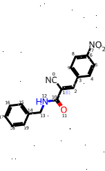 N#C/C(=C\c1ccc([N+](=O)[O-])cc1)C(=O)NCc1ccccc1